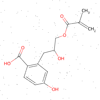 C=C(C)C(=O)OCC(O)Cc1cc(O)ccc1C(=O)O